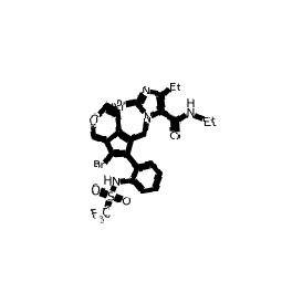 CCCc1nc(CC)c(C(=O)NCC)n1Cc1c2ccocc-2c(Br)c1-c1ccccc1NS(=O)(=O)C(F)(F)F